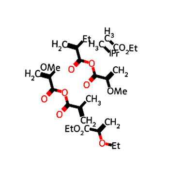 C=C(C)C(=O)OC(=O)C(=C)OC.C=C(CC)C(=O)OC(=O)C(=C)OC.C=C(OCC)C(=O)OCC.CC(C)C.CCOC(C)=O